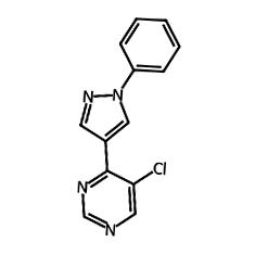 Clc1cncnc1-c1cnn(-c2ccccc2)c1